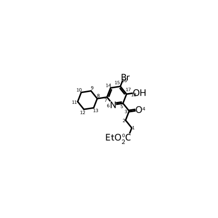 CCOC(=O)CCC(=O)c1nc(C2CCCCC2)cc(Br)c1O